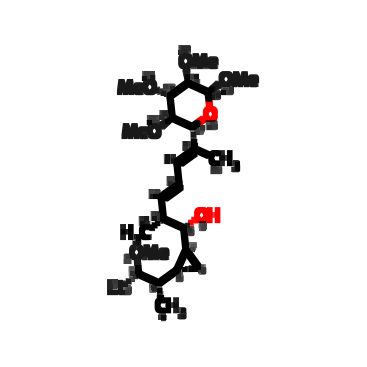 CC[C@H](OC)[C@@H](C)[C@H]1CC1[C@@H](O)[C@H](C)/C=C/C=C(\C)[C@H]1O[C@H](OC)[C@H](OC)[C@@H](OC)[C@@H]1OC